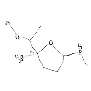 B[C@@]1(C(C)OC(C)C)CCC(BC)O1